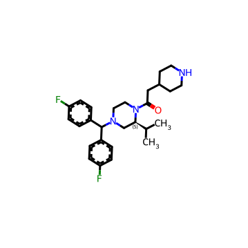 CC(C)[C@H]1CN(C(c2ccc(F)cc2)c2ccc(F)cc2)CCN1C(=O)CC1CCNCC1